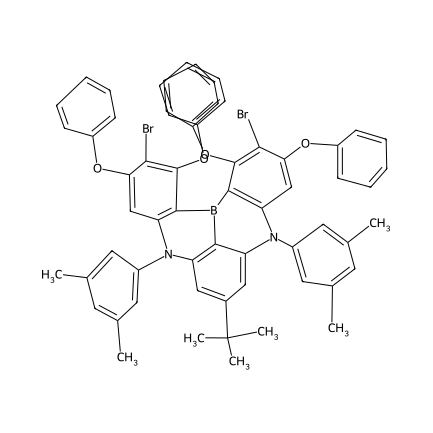 Cc1cc(C)cc(N2c3cc(C(C)(C)C)cc4c3B(c3c2cc(Oc2ccccc2)c(Br)c3Oc2ccccc2)c2c(cc(Oc3ccccc3)c(Br)c2Oc2ccccc2)N4c2cc(C)cc(C)c2)c1